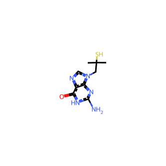 CC(C)(S)Cn1cnc2c(=O)[nH]c(N)nc21